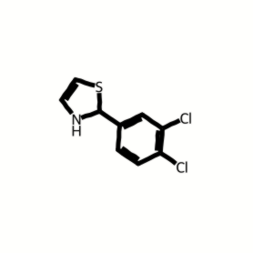 Clc1ccc(C2NC=CS2)cc1Cl